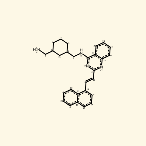 NCC1CCCC(CNc2nc(/C=C/c3cccc4ccccc34)nc3ccccc23)C1